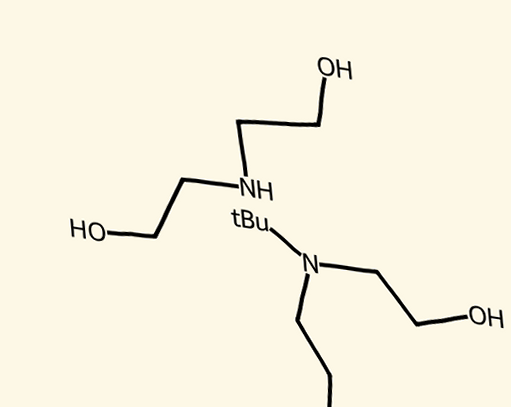 CC(C)(C)N(CCO)CCO.OCCNCCO